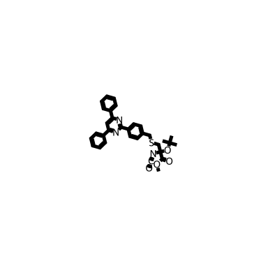 COC(=O)C(CSCc1ccc(-c2nc(-c3ccccc3)cc(-c3ccccc3)n2)cc1)(N=C=O)OC(C)(C)C